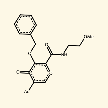 COCCNC(=O)c1occ(C(C)=O)c(=O)c1OCc1ccccc1